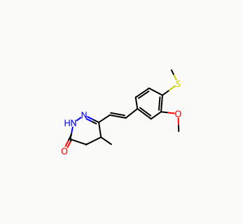 COc1cc(C=CC2=NNC(=O)CC2C)ccc1SC